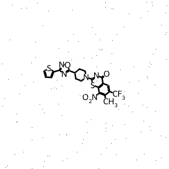 Cc1c(C(F)(F)F)cc2c(=O)nc(N3CCC(c4nc(-c5cccs5)no4)CC3)sc2c1[N+](=O)[O-]